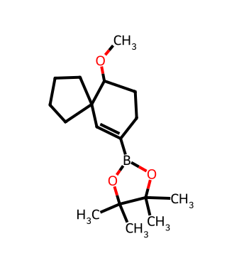 COC1CCC(B2OC(C)(C)C(C)(C)O2)=CC12CCCC2